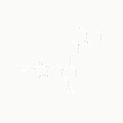 Cc1nnn(Cc2cc(C(F)(F)F)ccc2/C=C/C(=O)N2CCCCC2F)n1